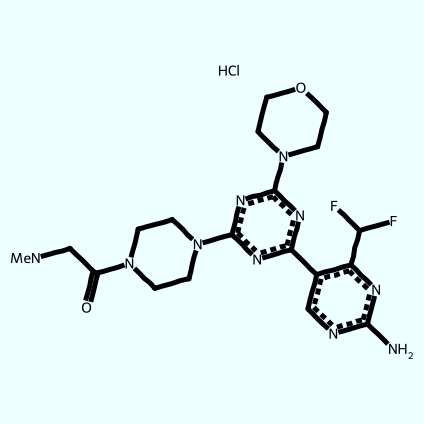 CNCC(=O)N1CCN(c2nc(-c3cnc(N)nc3C(F)F)nc(N3CCOCC3)n2)CC1.Cl